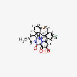 C[C@@H]1CC[C@@H]2N(C1)C(=O)c1c(O)c(=O)ccn1N2[C@H]1c2ccc(F)cc2CSc2ccccc21